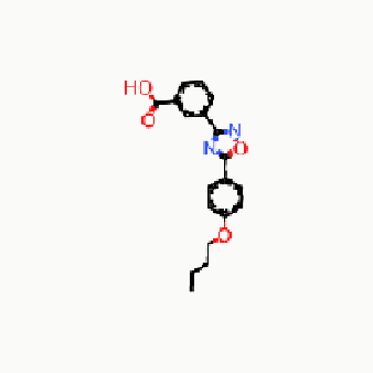 CCCCOc1ccc(-c2nc(-c3cccc(C(=O)O)c3)no2)cc1